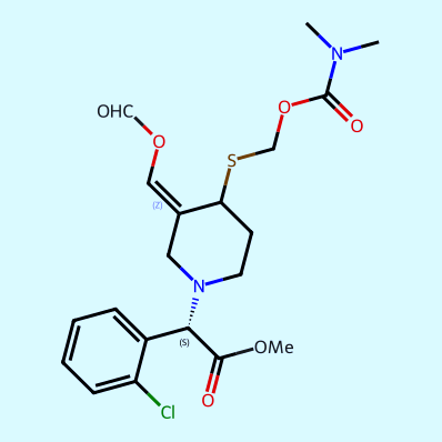 COC(=O)[C@H](c1ccccc1Cl)N1CCC(SCOC(=O)N(C)C)/C(=C\OC=O)C1